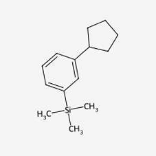 C[Si](C)(C)c1cccc(C2CCCC2)c1